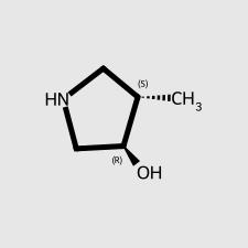 C[C@H]1CNC[C@@H]1O